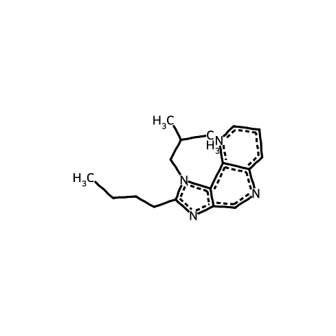 CCCCc1nc2cnc3cccnc3c2n1CC(C)C